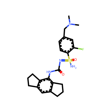 CN(C)Cc1ccc(S(N)(=O)=NC(=O)Nc2c3c(cc4c2CCC4)CCC3)c(F)c1